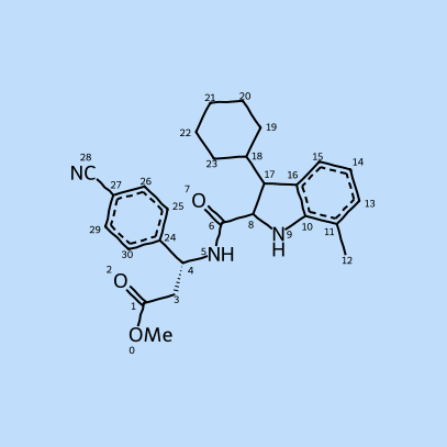 COC(=O)C[C@@H](NC(=O)C1Nc2c(C)cccc2C1C1CCCCC1)c1ccc(C#N)cc1